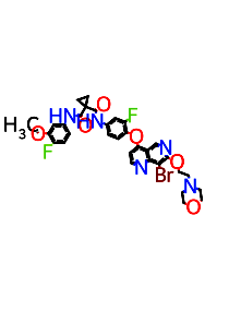 COc1cc(NC(=O)C2(C(=O)Nc3ccc(Oc4ccnc5c(Br)c(OCCN6CCOCC6)ncc45)c(F)c3)CC2)ccc1F